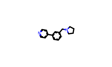 [c]1ccc(-c2ccncc2)cc1CN1CCCC1